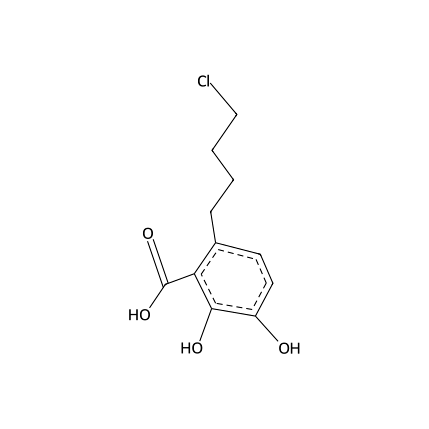 O=C(O)c1c(CCCCCl)ccc(O)c1O